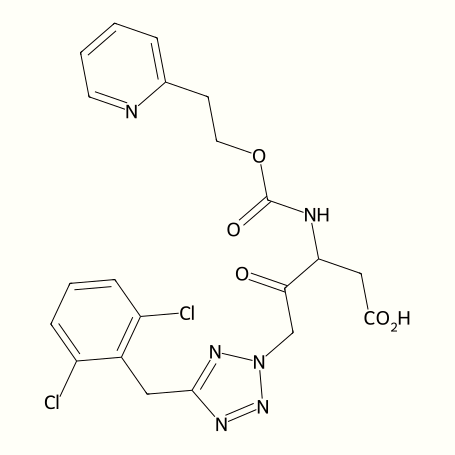 O=C(O)CC(NC(=O)OCCc1ccccn1)C(=O)Cn1nnc(Cc2c(Cl)cccc2Cl)n1